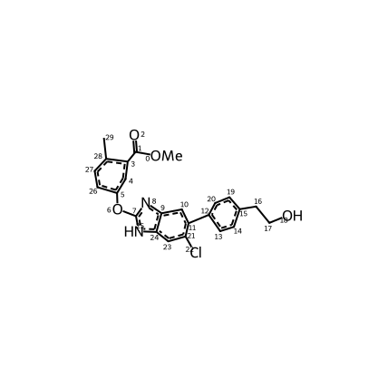 COC(=O)c1cc(Oc2nc3cc(-c4ccc(CCO)cc4)c(Cl)cc3[nH]2)ccc1C